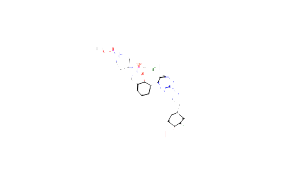 CC(C)(C)OC(=O)N1CCC(N(Cc2cccc(-c3nc(NCCc4ccc(O)c(F)c4)ncc3F)c2)S(C)(=O)=O)CC1